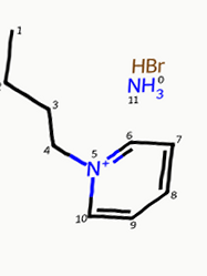 Br.CCCC[n+]1ccccc1.N